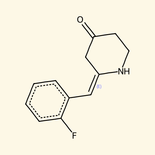 O=C1CCN/C(=C/c2ccccc2F)C1